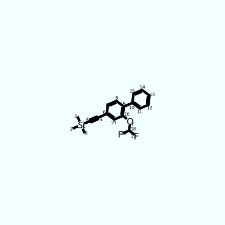 C[Si](C)(C)C#Cc1ccc(-c2ccccc2)c(OC(F)F)c1